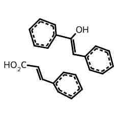 O=C(O)C=Cc1ccccc1.OC(=Cc1ccccc1)c1ccccc1